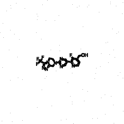 OCc1ccnc(-c2cnc(N3CCn4c(nnc4C(F)(F)F)C3)nc2)c1F